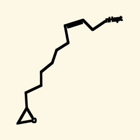 CCCCCCCC/C=C\CCCCCCC1CO1